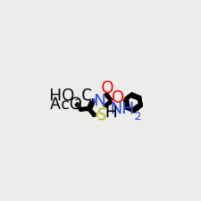 CC(=O)OCC1=C(C(=O)O)N2C(=O)[C@@](N)(Oc3ccccc3)[C@H]2SC1